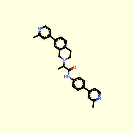 Cc1cc(-c2ccc(NC(=O)C(C)N3CCc4ccc(-c5ccnc(C)c5)cc4C3)cc2)ccn1